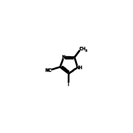 Cc1nc(C#N)c(I)[nH]1